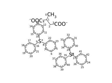 CC(CC(=O)[O-])C(=O)[O-].c1ccc([S+](c2ccccc2)c2ccccc2)cc1.c1ccc([S+](c2ccccc2)c2ccccc2)cc1